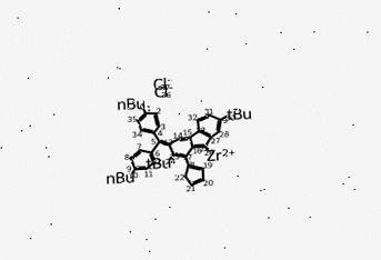 CCCCc1ccc(C(c2ccc(CCCC)cc2)=c2cc3c(c(C4=CC=CC4)c2C(C)(C)C)=[C]([Zr+2])c2cc(C(C)(C)C)ccc2-3)cc1.[Cl-].[Cl-]